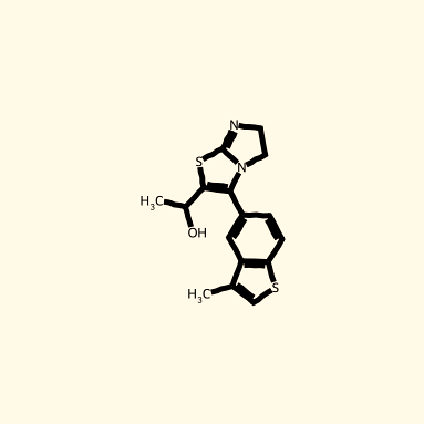 Cc1csc2ccc(C3=C(C(C)O)SC4=NCCN43)cc12